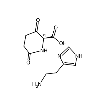 NCCc1c[nH]cn1.O=C1CCC(=O)[C@@H](C(=O)O)N1